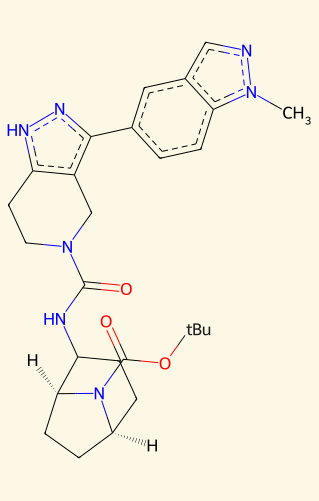 Cn1ncc2cc(-c3n[nH]c4c3CN(C(=O)NC3CC[C@H]5CC[C@@H]3N5C(=O)OC(C)(C)C)CC4)ccc21